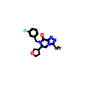 CCCc1nnc2c(=O)n(Cc3cccc(F)c3)c(C3CCOC3)cn12